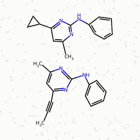 CC#Cc1cc(C)nc(Nc2ccccc2)n1.Cc1cc(C2CC2)nc(Nc2ccccc2)n1